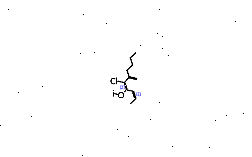 C=C(CCCC)/C(Cl)=C(\C=C/C)OI